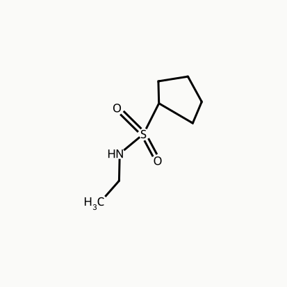 CCNS(=O)(=O)C1CCCC1